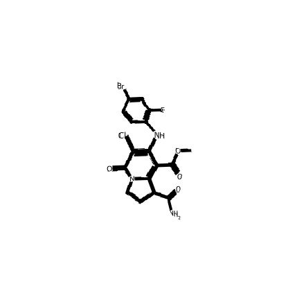 COC(=O)c1c(Nc2ccc(Br)cc2F)c(Cl)c(=O)n2c1C(C(N)=O)CC2